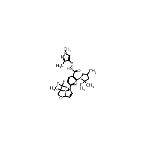 Cc1nn(C)cc1SNC(=O)c1ccc(N2C=CC3OCC(C)(C(F)(F)F)N32)nc1N1CC(C)CC1(C)C